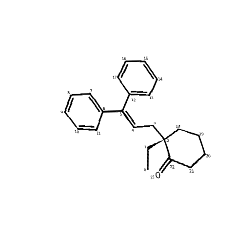 CC[C@@]1(CC=C(c2ccccc2)c2ccccc2)CCCCC1=O